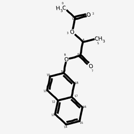 CC(=O)OC(C)C(=O)Oc1ccc2ccccc2c1